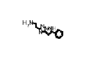 NCCc1nc2cc(-c3ccccc3)[nH]n2n1